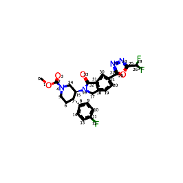 COC(=O)N1CC[C@@H](c2ccc(F)cc2)[C@H](N2Cc3ccc(-c4nnc(C(F)F)o4)cc3C2=O)C1